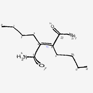 CCCC/C(C(N)=O)=C(/CCCC)C(N)=O